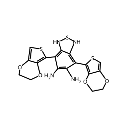 Nc1c(N)c(-c2scc3c2OCCO3)c2c(c1-c1scc3c1OCCO3)NSN2